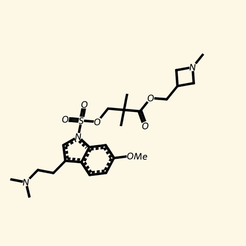 COc1ccc2c(CCN(C)C)cn(S(=O)(=O)OCC(C)(C)C(=O)OCC3CN(C)C3)c2c1